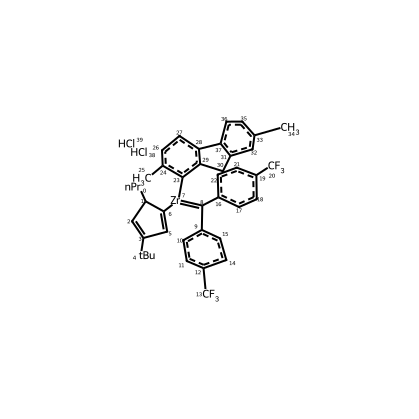 CCCC1C=C(C(C)(C)C)C=[C]1[Zr](=[C](c1ccc(C(F)(F)F)cc1)c1ccc(C(F)(F)F)cc1)[c]1c(C)ccc2c1Cc1cc(C)ccc1-2.Cl.Cl